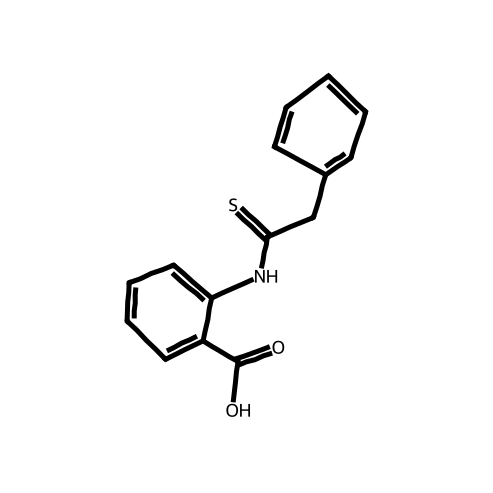 O=C(O)c1ccccc1NC(=S)Cc1ccccc1